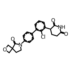 O=C1CCC(c2cccc(-c3ccc(N4CCC5(COC5)C4=O)cc3)c2Cl)C(=O)N1